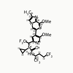 COc1cnc(C(N(C(=O)N[C@@H](CCC(F)(F)F)C(F)(F)F)C2CC2)C(F)(F)F)cc1-c1cn2cc(C)nc2c(OC)n1